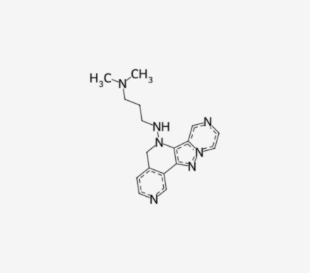 CN(C)CCCNN1Cc2ccncc2-c2nn3ccncc3c21